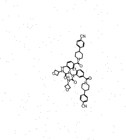 CCc1ccc(C(=O)N2CCC(c3ccc(C#N)cc3)CC2)cc1N(C(=O)NC1COC1)N(C(=O)NC1COC1)c1cc(C(=O)N2CCC(c3ccc(C#N)cc3)CC2)ccc1C